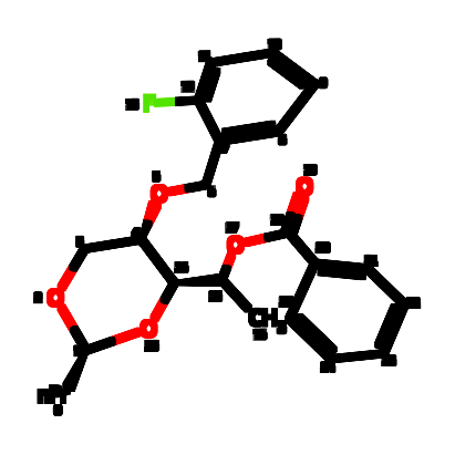 CCC[C@H]1OC[C@@H](OCc2ccccc2F)[C@@H](C(C)OC(=O)c2ccccc2)O1